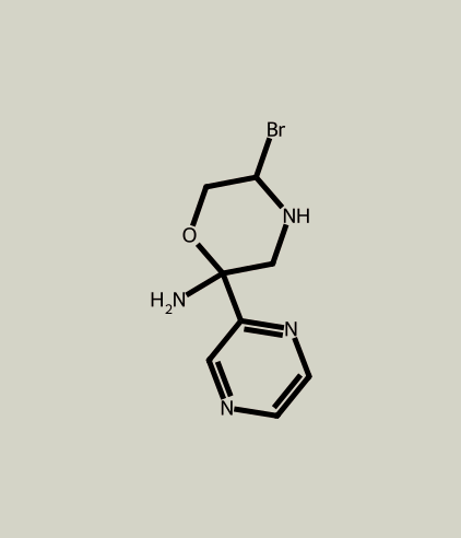 NC1(c2cnccn2)CNC(Br)CO1